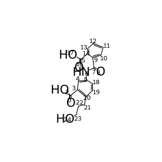 O=C(O)c1cc(NC(=O)c2ccccc2C(=O)O)ccc1CCCO